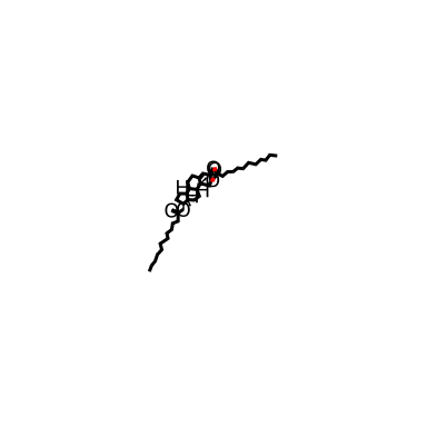 CCCCCCCCCCCC(=O)OC[C@]12CCC(=O)C=C1CC[C@@H]1[C@@H]2CC[C@]2(C)[C@@H](OC(=O)CCCCCCCCCCC)CC[C@@H]12